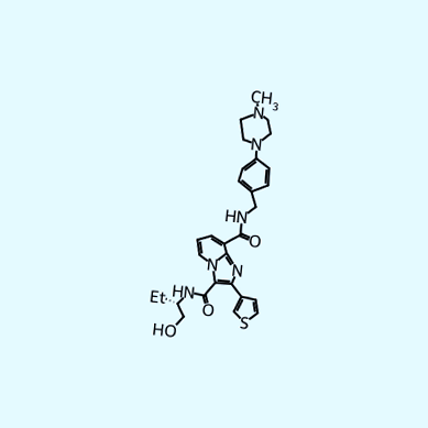 CC[C@@H](CO)NC(=O)c1c(-c2ccsc2)nc2c(C(=O)NCc3ccc(N4CCN(C)CC4)cc3)cccn12